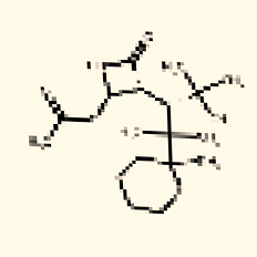 CC(=O)O[C@H]1NC(=O)[C@@H]1[C@H](C(C)(C)C)C(C)(C)C1([SiH3])CCCCO1